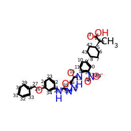 CC(C(=O)O)[C@H]1CC[C@H](c2ccc(NC(=O)c3nnc(Nc4cccc(OCc5ccccc5)c4)o3)c([N+](=O)[O-])c2)CC1